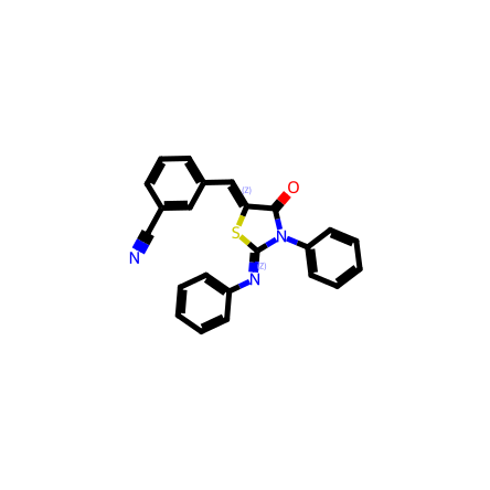 N#Cc1cccc(/C=C2\S/C(=N\c3ccccc3)N(c3ccccc3)C2=O)c1